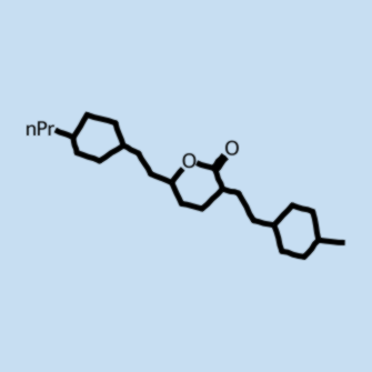 CCCC1CCC(CCC2CCC(CCC3CCC(C)CC3)C(=O)O2)CC1